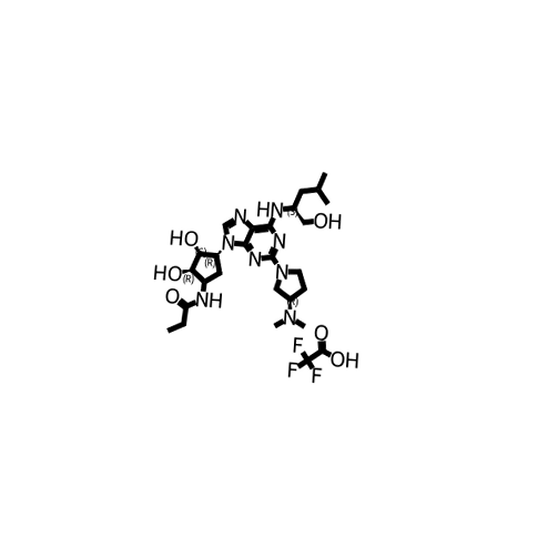 CCC(=O)NC1C[C@@H](n2cnc3c(N[C@H](CO)CC(C)C)nc(N4CC[C@@H](N(C)C)C4)nc32)[C@H](O)[C@@H]1O.O=C(O)C(F)(F)F